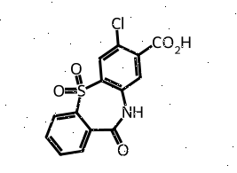 O=C(O)c1cc2c(cc1Cl)S(=O)(=O)c1ccccc1C(=O)N2